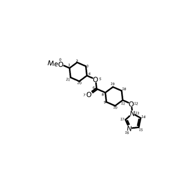 COC1CCC(OC(=O)C2CCC(On3ccnc3)CC2)CC1